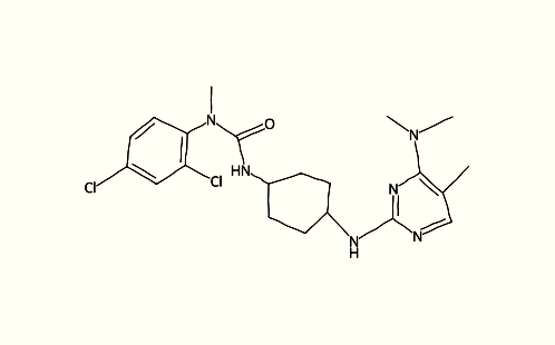 Cc1cnc(NC2CCC(NC(=O)N(C)c3ccc(Cl)cc3Cl)CC2)nc1N(C)C